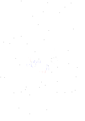 CCOc1cccc(NCC(O)c2c[nH]c(=O)[nH]2)c1